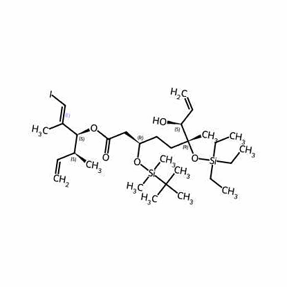 C=C[C@H](C)[C@H](OC(=O)C[C@@H](CC[C@@](C)(O[Si](CC)(CC)CC)[C@@H](O)C=C)O[Si](C)(C)C(C)(C)C)/C(C)=C/I